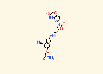 N#Cc1cc(OC[C@H](N)CO)cc2c1CC(CNCCC1CN(c3ccc4c(n3)NC(=O)CO4)C(=O)O1)C2